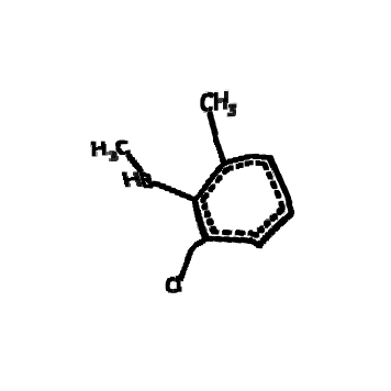 CBc1c(C)cccc1Cl